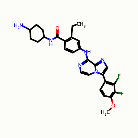 CCc1cc(Nc2nccn3c(-c4ccc(OC)c(F)c4F)cnc23)ccc1C(=O)NC1CCC(N)CC1